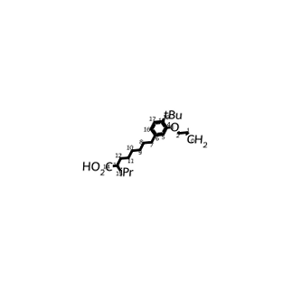 C=CCOc1cc(CCCCCCC(C(=O)O)C(C)C)ccc1C(C)(C)C